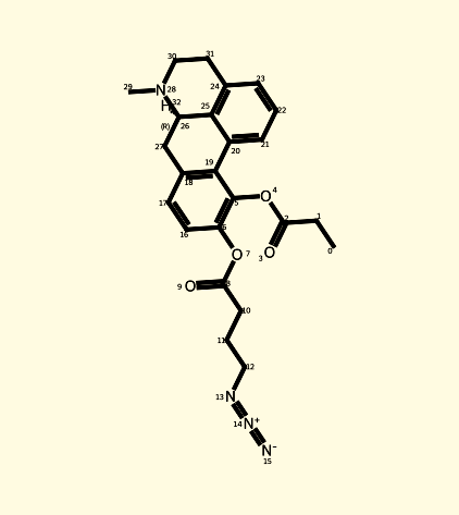 CCC(=O)Oc1c(OC(=O)CCCN=[N+]=[N-])ccc2c1-c1cccc3c1[C@@H](C2)N(C)CC3